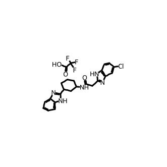 O=C(Cc1nc2cc(Cl)ccc2[nH]1)NC1CCCC(c2nc3ccccc3[nH]2)C1.O=C(O)C(F)(F)F